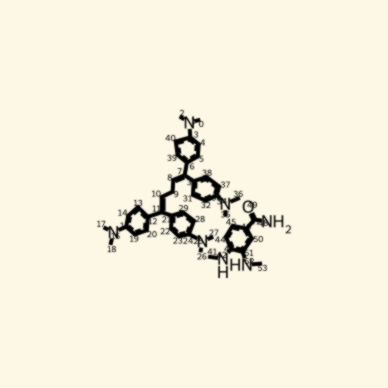 CN(C)c1ccc(C(=CCC=C(c2ccc(N(C)C)cc2)c2ccc(N(C)C)cc2)c2ccc(N(C)C)cc2)cc1.CNc1ccc(C(N)=O)cc1NC